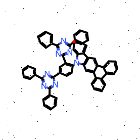 c1ccc(-c2nc(-c3ccccc3)nc(-c3ccc(-n4c5ccccc5c5cc6c7ccccc7c7ccccc7c6cc54)c(-c4nc(-c5ccccc5)nc(-c5ccccc5)n4)c3)n2)cc1